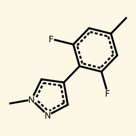 Cc1cc(F)c(-c2cnn(C)c2)c(F)c1